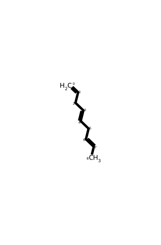 C=CCC=CCC=CC